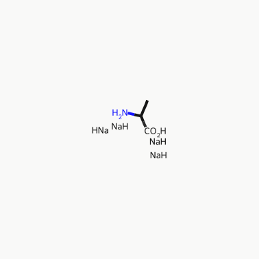 CC(N)C(=O)O.[NaH].[NaH].[NaH].[NaH]